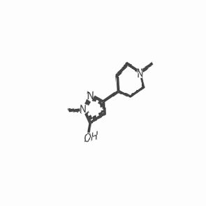 CN1CCC(c2cc(O)n(C)n2)CC1